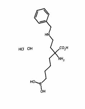 Cl.Cl.NC(CCCCB(O)O)(CCNCc1ccccc1)C(=O)O